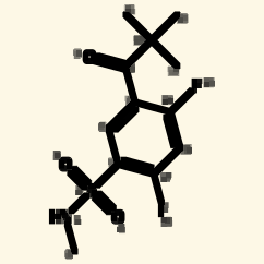 CNS(=O)(=O)c1cc(C(=O)C(C)(C)C)c(F)cc1F